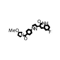 CO[C@H]1CCN(C(=O)c2ccc(-n3ccc(-c4cc5cc(F)ccc5[nH]c4=O)n3)cc2)C1